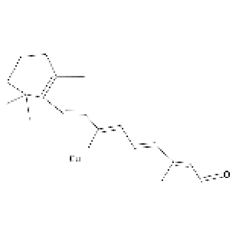 CC1=C(/C=C/C(C)=C/C=C/C(C)=C/C=O)C(C)(C)CCC1.[Cu]